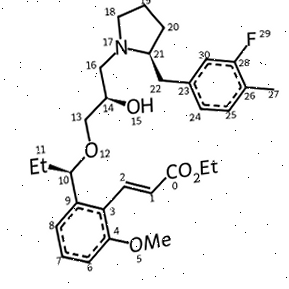 CCOC(=O)/C=C/c1c(OC)cccc1[C@@H](CC)OC[C@H](O)CN1CCC[C@H]1Cc1ccc(C)c(F)c1